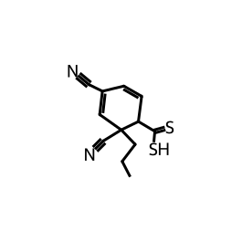 CCCC1(C#N)C=C(C#N)C=CC1C(=S)S